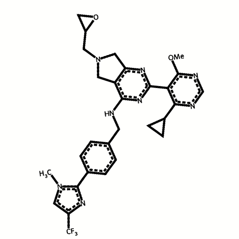 COc1ncnc(C2CC2)c1-c1nc2c(c(NCc3ccc(-c4nc(C(F)(F)F)cn4C)cc3)n1)CN(CC1CO1)C2